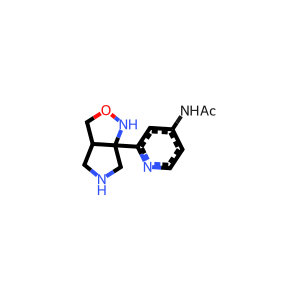 CC(=O)Nc1ccnc(C23CNCC2CON3)c1